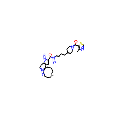 Cc1ncsc1C(=O)N1CCC(CCCCNC(=O)c2cc3c([nH]2)CCNC32CCCCCCCC2)CC1